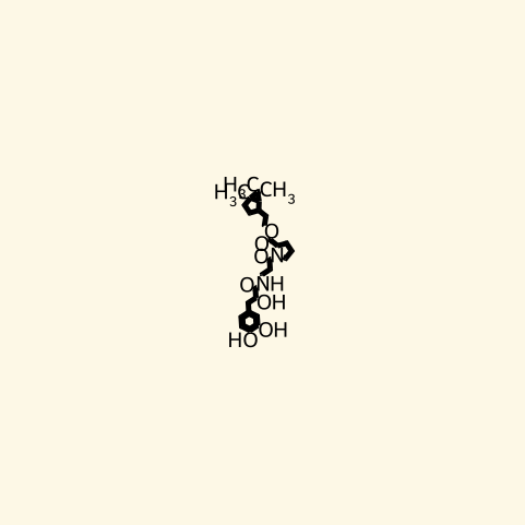 CC1(C)C2C(CCOC(=O)C3CCCN3C(=O)CCNC(=O)C(O)Cc3ccc(O)c(O)c3)CCC21C